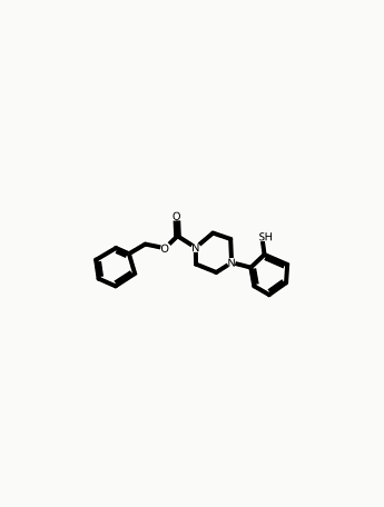 O=C(OCc1ccccc1)N1CCN(c2ccccc2S)CC1